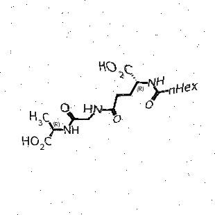 CCCCCCC(=O)N[C@H](CCC(=O)NCC(=O)N[C@H](C)C(=O)O)C(=O)O